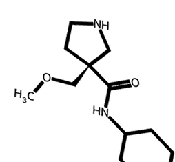 COC[C@@]1(C(=O)NC2CCCCC2)CCNC1